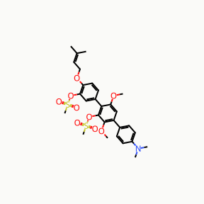 COc1cc(-c2ccc(N(C)C)cc2)c(OC)c(OS(C)(=O)=O)c1-c1ccc(OCC=C(C)C)c(OS(C)(=O)=O)c1